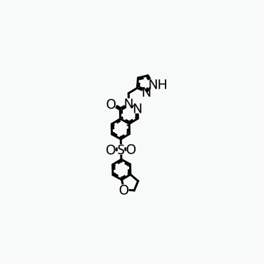 O=c1c2ccc(S(=O)(=O)c3ccc4c(c3)CCO4)cc2cnn1Cc1cc[nH]n1